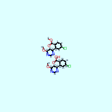 COC(=O)c1ccc(Cl)cc1-c1cc(OC)ncn1.COc1cc(-c2cc(Cl)ccc2C(=O)O)ncn1